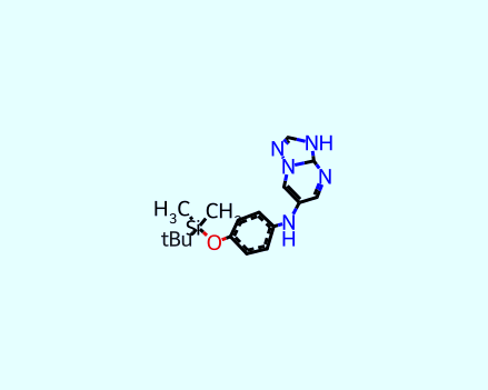 CC(C)(C)[Si](C)(C)Oc1ccc(NC2=CN3N=CNC3N=C2)cc1